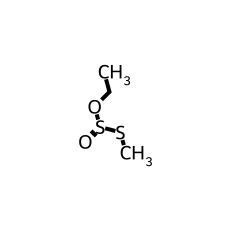 CCOS(=O)SC